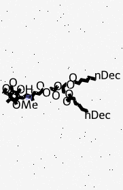 CCCCCCCCCCCCCCCC(=O)OCC(COC(=O)CCCCCCCCCCCCCCC)OC(=O)COC(=O)CC/C(C)=C/Cc1c(O)c2c(c(C)c1OC)COC2=O